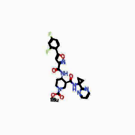 CC(C)(C)OC(=O)N1CC[C@H](NC(=O)c2cc(-c3ccc(F)cc3F)on2)[C@@H](C(=O)NC2(c3ncccn3)CC2)C1